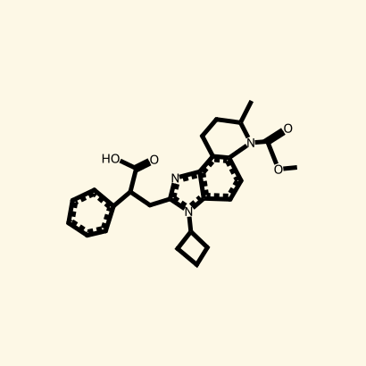 COC(=O)N1c2ccc3c(nc(CC(C(=O)O)c4ccccc4)n3C3CCC3)c2CCC1C